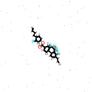 C=CCCc1ccc(OC(=O)c2ccc3c(c2F)C(F)(F)C(F)(F)c2c-3ccc(CCC)c2F)cc1F